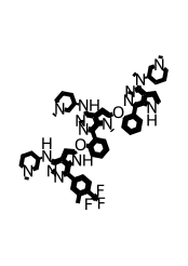 Cc1cc(-c2nnc(N[C@@H]3CCCN(C)C3)c3cc(Oc4ccccc4-c4nnc(N[C@@H]5CCCN(C)C5)c5cc(Oc6ccccc6-c6nnc(N(C)[C@@H]7CCCN(C)C7)c7cc[nH]c67)n(C)c45)[nH]c23)ccc1C(F)(F)F